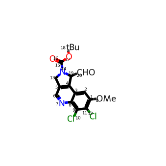 COc1cc2c3c(cnc2c(Cl)c1Cl)CN(C(=O)OC(C)(C)C)C3C=O